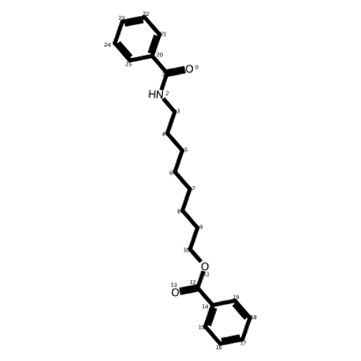 O=C(NCCCCCCCCOC(=O)c1ccccc1)c1ccccc1